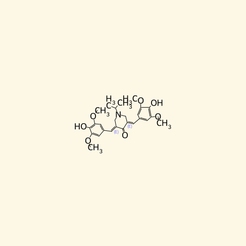 COc1cc(/C=C2\CN(C(C)C)C/C(=C\c3cc(OC)c(O)c(OC)c3)C2=O)cc(OC)c1O